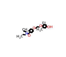 C=CCN(CC=C)C(=O)c1ccc(OCCCOc2c(C)cc(O)cc2CC)cc1